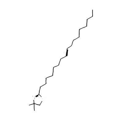 CCCCCCCC/C=C/CCCCCCCC1=NC(C)(C)CO1